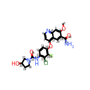 COc1cc2nccc(Oc3ccc(NC(=O)N4CCC(O)C4)c(Cl)c3F)c2cc1C(N)=O